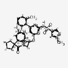 Cc1cccc(C)c1-c1cc(OC2CN(C(=O)C3(c4cccc(F)c4)CCCC3)C2)nc(NS(=O)(=O)c2cnn(C)c2)n1